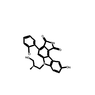 C[C@@H](CO)Cn1c2ccc(O)cc2c2c3c(c(-c4ccccc4Cl)cc21)C(=O)NC3=O